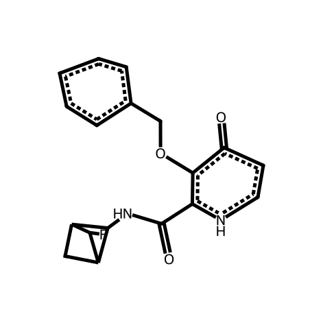 O=C(NC1C2CC1C2F)c1[nH]ccc(=O)c1OCc1ccccc1